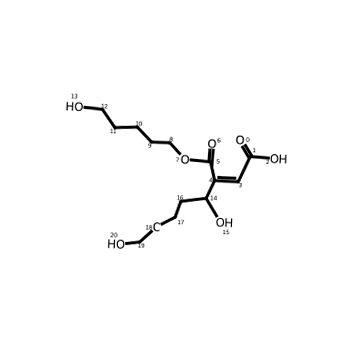 O=C(O)/C=C(\C(=O)OCCCCCO)C(O)CCCCO